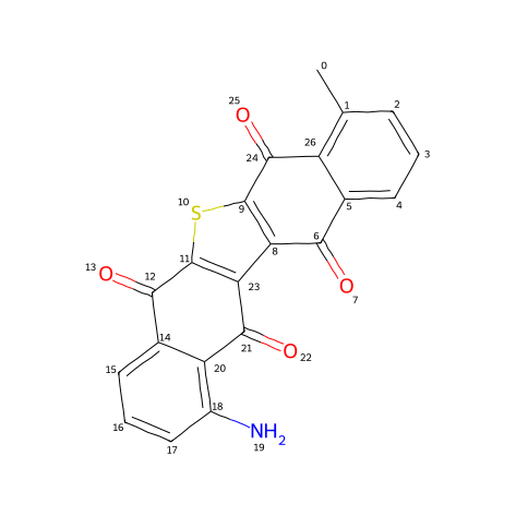 Cc1cccc2c(=O)c3c(sc4c(=O)c5cccc(N)c5c(=O)c43)c(=O)c12